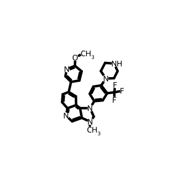 COc1ccc(-c2ccc3ncc4c(c3c2)N(c2ccc(N3CCNCC3)c(C(F)(F)F)c2)CN4C)cn1